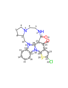 O=C1NCCN2CCCC2Cn2c3ccccc3n3c4sc(Cl)cc4c(=O)c1c23